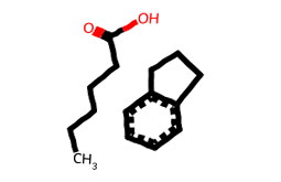 CCCCCC(=O)O.c1ccc2c(c1)CCC2